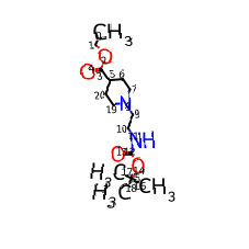 CCOC(=O)C1CCN(CCNC(=O)OC(C)(C)C)CC1